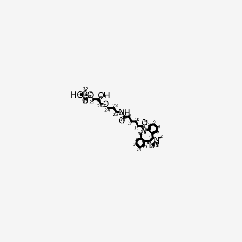 Cn1nnc2c1-c1ccccc1N(C(=O)CCCCC(=O)NCCCOCC(O)COP(C)(=O)O)Cc1ccccc1-2